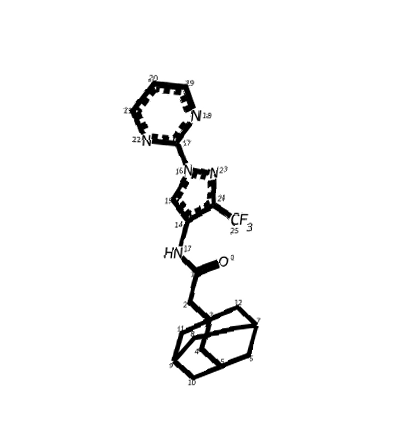 O=C(CC12CC3CC(CC(C3)C1)C2)Nc1cn(-c2ncccn2)nc1C(F)(F)F